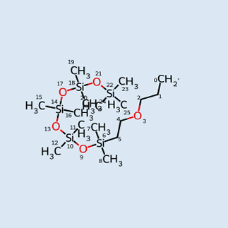 [CH2]CCOCC[Si](C)(C)O[Si](C)(C)O[Si](C)(C)O[Si](C)(C)O[Si](C)(C)C